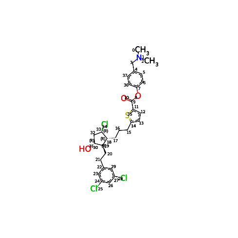 CN(C)Cc1ccc(OC(=O)c2ccc(CCC[C@@H]3[C@@H](CCc4cc(Cl)cc(Cl)c4)[C@H](O)C[C@H]3Cl)s2)cc1